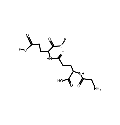 NCC(=O)NC(CCC(=O)NC(CCC(=O)OF)C(=O)SF)C(=O)O